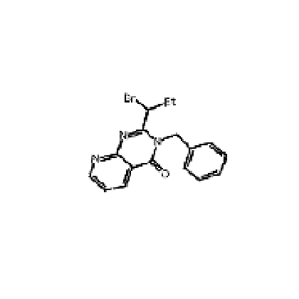 CCC(Br)c1nc2ncccc2c(=O)n1Cc1ccccc1